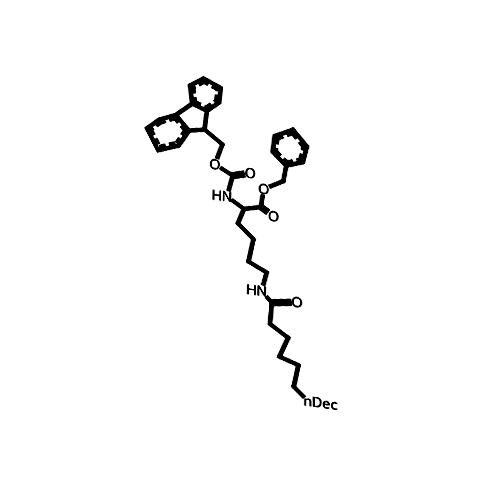 CCCCCCCCCCCCCCCC(=O)NCCCCC(NC(=O)OCC1c2ccccc2-c2ccccc21)C(=O)OCc1ccccc1